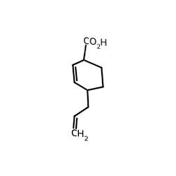 C=CCC1C=CC(C(=O)O)CC1